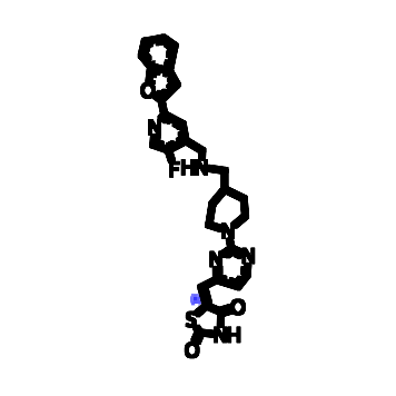 O=C1NC(=O)/C(=C\c2ccnc(N3CCC(CNCc4cc(-c5cc6ccccc6o5)ncc4F)CC3)n2)S1